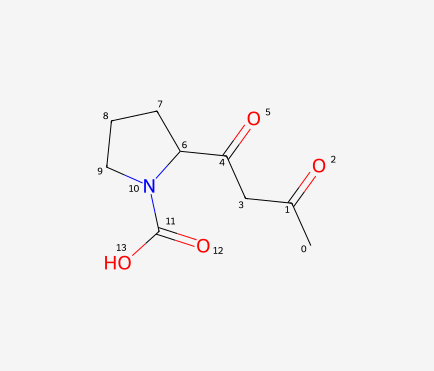 CC(=O)CC(=O)C1CCCN1C(=O)O